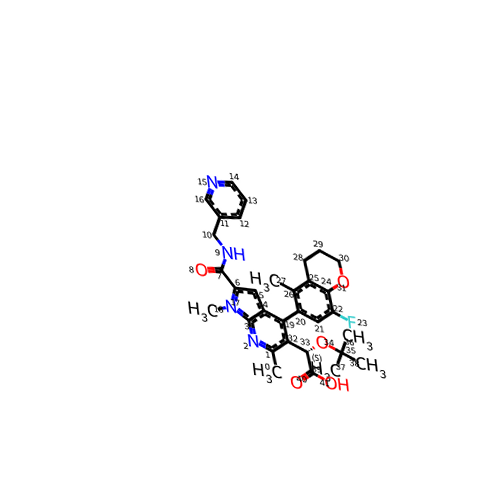 Cc1nc2c(cc(C(=O)NCc3cccnc3)n2C)c(-c2cc(F)c3c(c2C)CCCO3)c1[C@H](OC(C)(C)C)C(=O)O